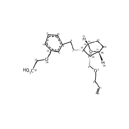 C=CCOC[C@@H]1[C@H](CCc2cccc(OCC(=O)O)c2)[C@@H]2CC[C@H]1O2